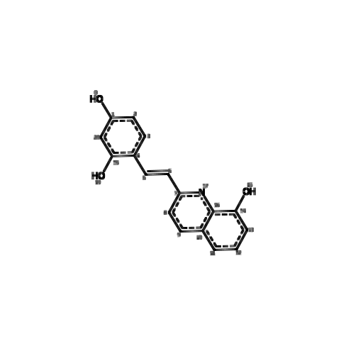 Oc1ccc(/C=C/c2ccc3cccc(O)c3n2)c(O)c1